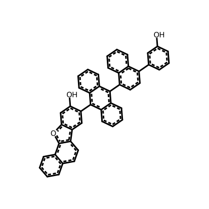 Oc1cccc(-c2ccc(-c3c4ccccc4c(-c4cc5c(cc4O)oc4c6ccccc6ccc54)c4ccccc34)c3ccccc23)c1